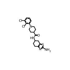 Nc1nc2c(s1)CC(NC(=O)C1CCN(c3cccc(Cl)c3Cl)CC1)CC2